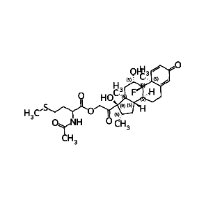 CSCCC(NC(C)=O)C(=O)OCC(=O)[C@@]1(O)[C@@H](C)C[C@H]2[C@@H]3CCC4=CC(=O)C=C[C@]4(C)[C@@]3(F)[C@@H](O)C[C@@]21C